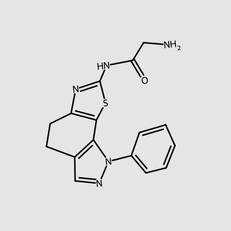 NCC(=O)Nc1nc2c(s1)-c1c(cnn1-c1ccccc1)CC2